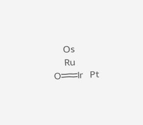 [O]=[Ir].[Os].[Pt].[Ru]